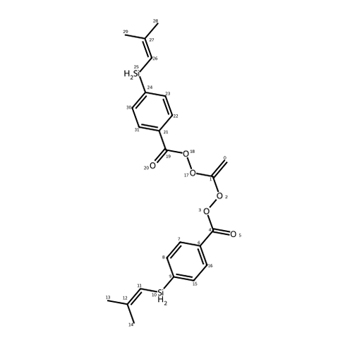 C=C(OOC(=O)c1ccc([SiH2]C=C(C)C)cc1)OOC(=O)c1ccc([SiH2]C=C(C)C)cc1